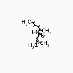 CCCCC(C)N[PH](=O)CN(C)C